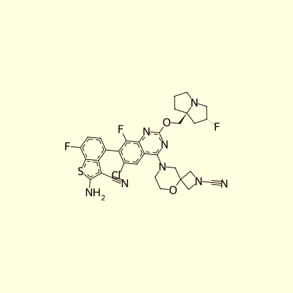 N#Cc1c(N)sc2c(F)ccc(-c3c(Cl)cc4c(N5CCOC6(CN(C#N)C6)C5)nc(OC[C@@]56CCCN5C[C@H](F)C6)nc4c3F)c12